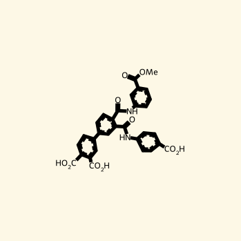 COC(=O)c1cccc(NC(=O)c2ccc(-c3ccc(C(=O)O)c(C(=O)O)c3)cc2C(=O)Nc2ccc(C(=O)O)cc2)c1